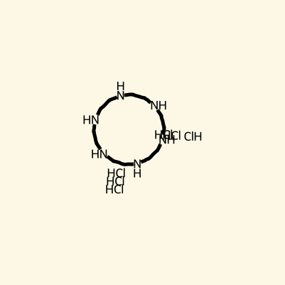 C1CNCCNCCNCCNCCNCCN1.Cl.Cl.Cl.Cl.Cl.Cl